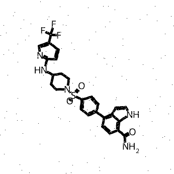 NC(=O)c1ccc(-c2ccc(S(=O)(=O)N3CCC(Nc4ccc(C(F)(F)F)cn4)CC3)cc2)c2cc[nH]c12